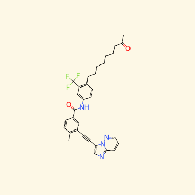 CC(=O)CCCCCCCc1ccc(NC(=O)c2ccc(C)c(C#Cc3cnc4cccnn34)c2)cc1C(F)(F)F